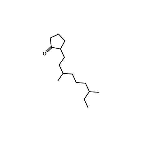 CCC(C)CCCC(C)CCC1CCCC1=O